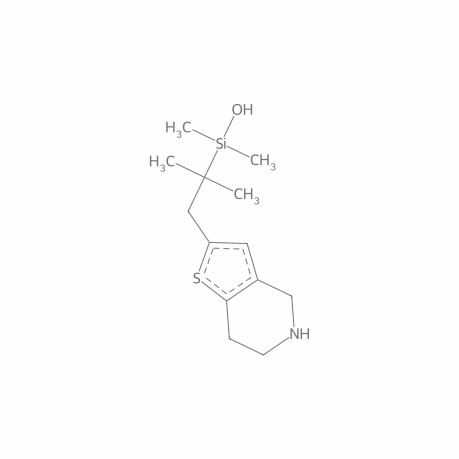 CC(C)(Cc1cc2c(s1)CCNC2)[Si](C)(C)O